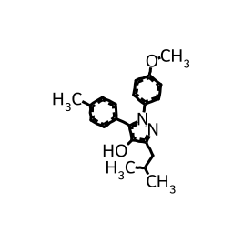 COc1ccc(-n2nc(CC(C)C)c(O)c2-c2ccc(C)cc2)cc1